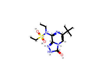 CCN(c1nc(C(C)(C)C)cn2c(=O)[nH]nc12)S(=O)(=O)CC